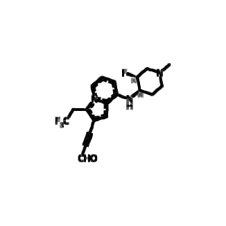 CN1CC[C@@H](Nc2cccn3c(CC(F)(F)F)c(C#CC=O)cc23)[C@@H](F)C1